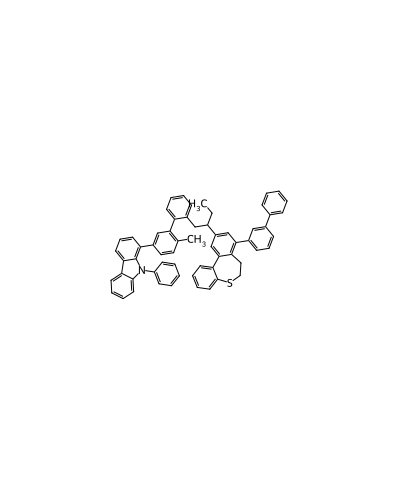 CCC(Cc1ccccc1-c1cc(-c2cccc3c4ccccc4n(-c4ccccc4)c23)ccc1C)c1cc(-c2cccc(-c3ccccc3)c2)c2c(c1)-c1ccccc1SCC2